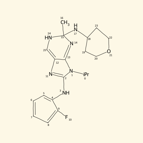 CC(C)n1c(Nc2ccccc2F)nc2c1=NC(C)(NC1CCOCC1)NC=2